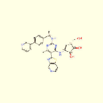 Cc1nc(N[C@H](C)c2ccc(-c3cccnc3)cc2)nc(N[C@@H]2C[C@H](CO)[C@@H](O)[C@H]2O)c1-c1nc2cnccc2s1